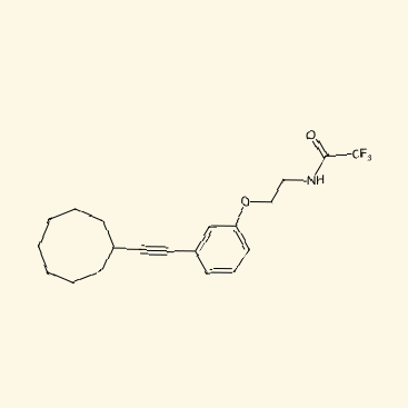 O=C(NCCOc1cccc(C#CC2CCCCCCC2)c1)C(F)(F)F